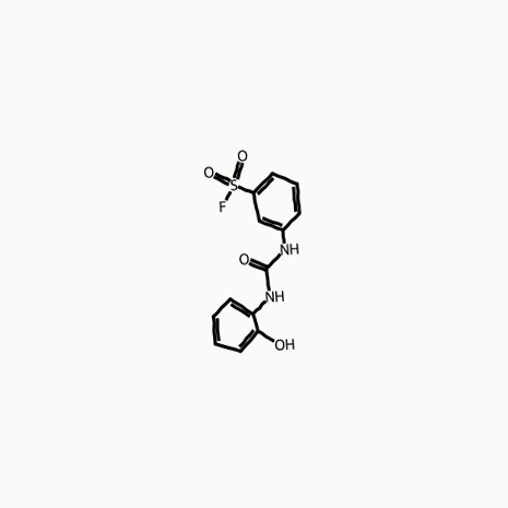 O=C(Nc1cccc(S(=O)(=O)F)c1)Nc1ccccc1O